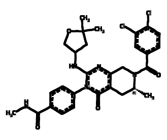 CNC(=O)c1ccc(-n2c(NC3COC(C)(C)C3)nc3c(c2=O)C[C@@H](C)N(C(=O)c2ccc(Cl)c(Cl)c2)C3)cc1